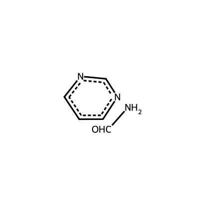 NC=O.c1cncnc1